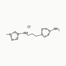 C[n+]1ccn(NCCCc2ccc(N)cc2)c1.[Cl-]